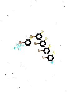 F.F.F.F.F.[S]c1cccc(Br)c1.[S]c1cccc(Br)c1.[S]c1cccc(Br)c1.[S]c1cccc(Br)c1.[S]c1cccc(Br)c1